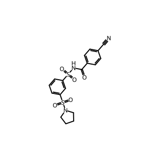 N#Cc1ccc(C(=O)NS(=O)(=O)c2cccc(S(=O)(=O)N3CCCC3)c2)cc1